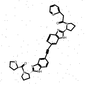 O=C(Cc1ccccn1)N1CCC[C@H]1c1nc2ccc(C#Cc3ccc4[nH]c([C@@H]5CCCN5C(=O)[C@H]5CCCO5)nc4c3)cc2[nH]1